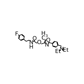 CCN(CC)Cc1ccc(-c2nc(COCC(=O)NCCc3ccc(F)cc3)c(C)o2)cc1